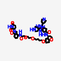 O=C1CCC(N2Cc3c(NC(=O)COCCCOCCCCCOc4ccc5c(c4)[C@@H](NC(=O)c4cccc(NC6(c7nnc(-c8ccncc8)[nH]7)CCNCC6)c4)CCO5)cccc3C2=O)C(=O)N1